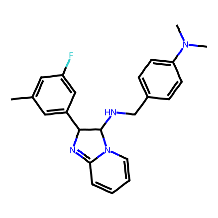 Cc1cc(F)cc(C2N=C3C=CC=CN3C2NCc2ccc(N(C)C)cc2)c1